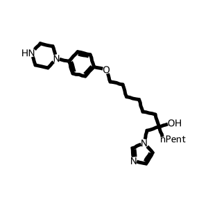 CCCCCC(O)(CCCCCCOc1ccc(N2CCNCC2)cc1)Cn1ccnc1